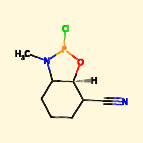 CN1C2CCCC(C#N)[C@@H]2OP1Cl